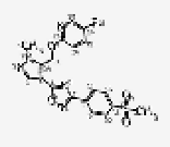 Cn1ncc(-c2nc(-c3ccc(S(C)(=O)=O)cc3)no2)c1COc1ccc(F)cn1